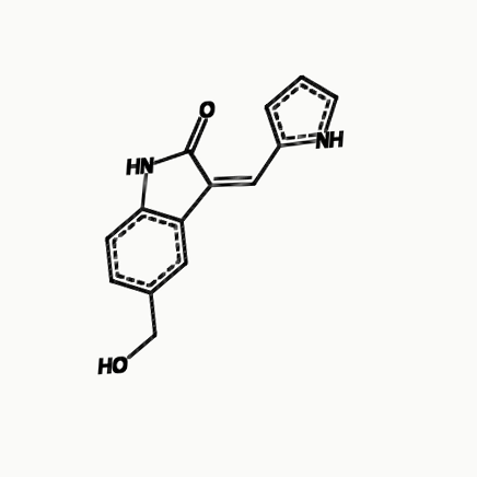 O=C1Nc2ccc(CO)cc2C1=Cc1ccc[nH]1